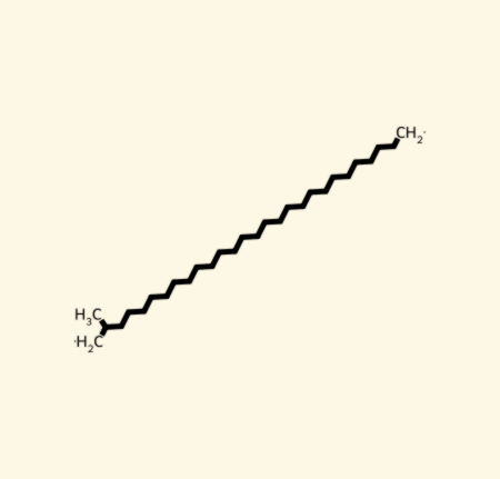 [CH2]CCCCCCCCCCCCCCCCCCCCCCCCCC([CH2])C